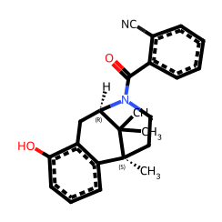 CC1(C)[C@H]2Cc3c(O)cccc3[C@]1(C)CCN2C(=O)c1ccccc1C#N